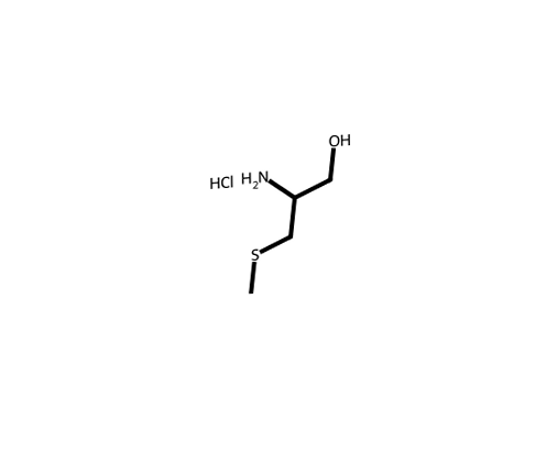 CSCC(N)CO.Cl